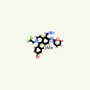 COc1cc(Br)ccc1C1c2ccc(NC3CCCCO3)c(C=N)c2CCN1CC(F)F